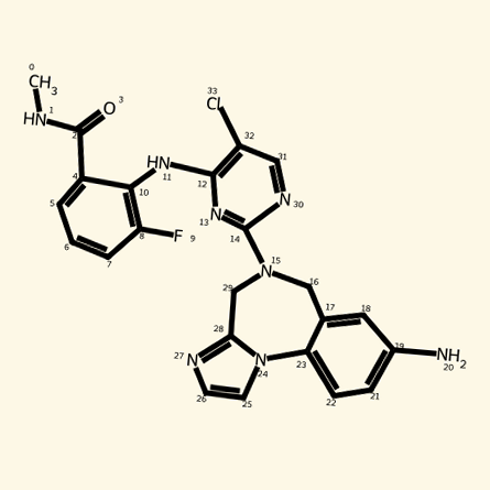 CNC(=O)c1cccc(F)c1Nc1nc(N2Cc3cc(N)ccc3-n3ccnc3C2)ncc1Cl